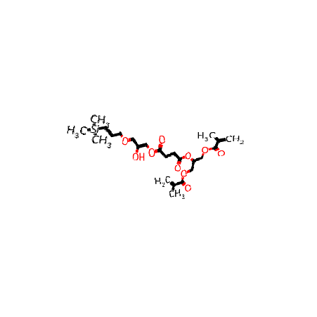 C=C(C)C(=O)OCC(COC(=O)C(=C)C)OC(=O)CCC(=O)OCC(O)COCCC[Si](C)(C)C